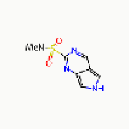 CNS(=O)(=O)c1ncc2c[nH]cc2n1